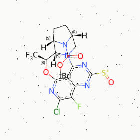 CC(C)(C)OC(=O)N1[C@@H]2CC[C@H]1[C@H]1[C@H](C(F)(F)F)Oc3nc(Cl)c(F)c4nc([S+]=O)nc(c34)N1C2